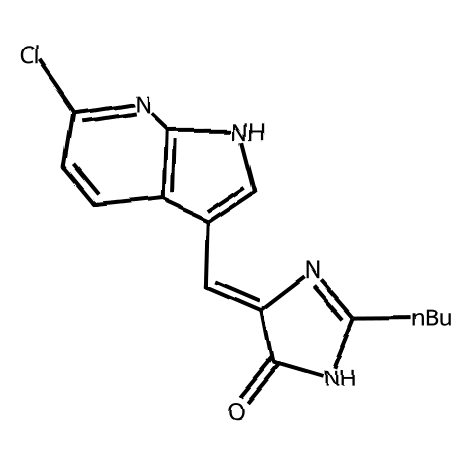 CCCCC1=NC(=Cc2c[nH]c3nc(Cl)ccc23)C(=O)N1